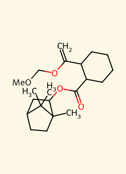 C=C(OCOC)C1CCCCC1C(=O)OC1CC2CCC1(C)C2(C)C